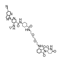 N#Cc1cnc2c(cnn2-c2cc(NC3CC3)c(C(=O)NC3CCC(C(=O)NCCOCCOCCNc4cccc5c4C(=O)N(C4CCC(=O)NC4=O)C5=O)CC3)cn2)c1